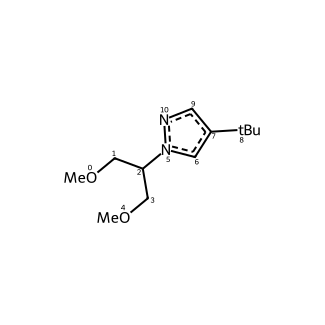 COCC(COC)n1cc(C(C)(C)C)cn1